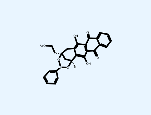 CC(=O)OCC[C@]12Cc3c(O)c4c(c(O)c3[C@H](C1)OB(c1ccccc1)O2)C(=O)c1ccccc1C4=O